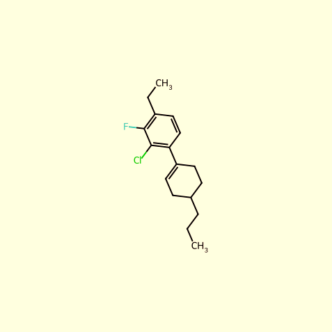 CCCC1CC=C(c2ccc(CC)c(F)c2Cl)CC1